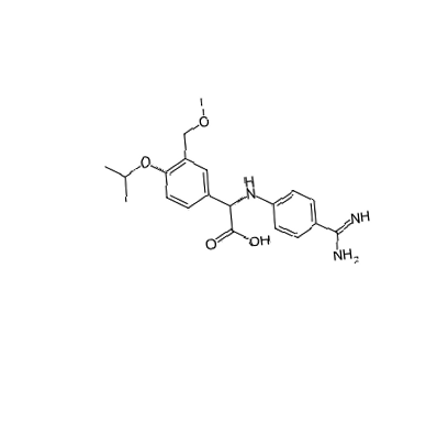 COCc1cc(C(Nc2ccc(C(=N)N)cc2)C(=O)O)ccc1OC(C)C